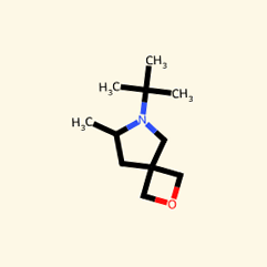 CC1CC2(COC2)CN1C(C)(C)C